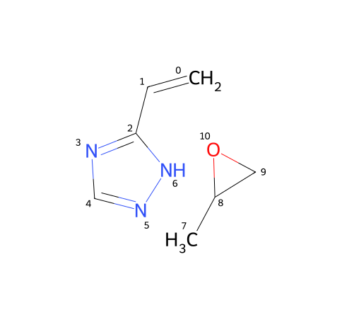 C=Cc1ncn[nH]1.CC1CO1